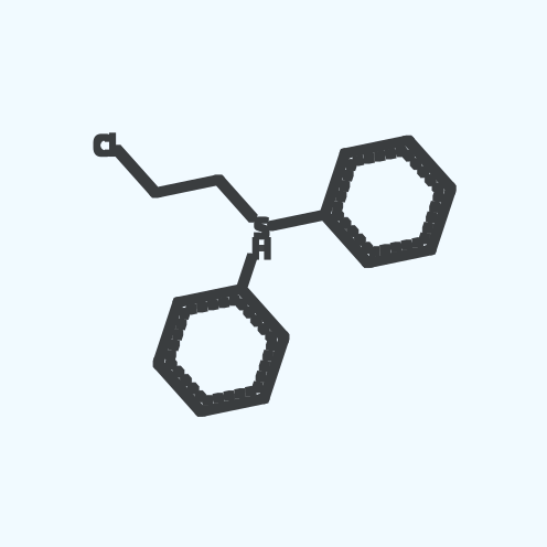 ClCC[SH](c1ccccc1)c1ccccc1